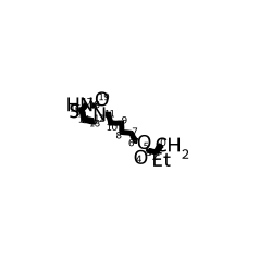 C=C(CC)C(=O)OCCCCCCn1ccc(=S)[nH]c1=O